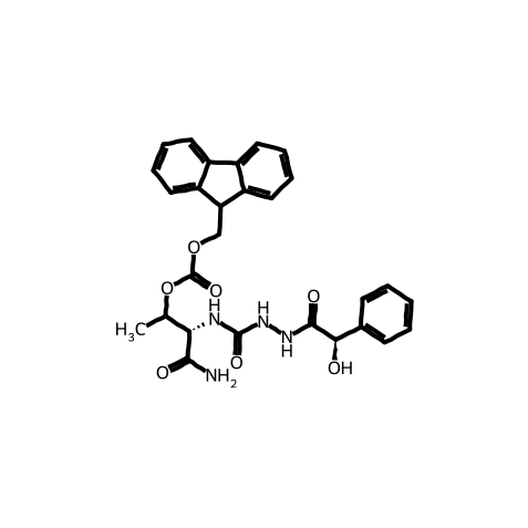 CC(OC(=O)OCC1c2ccccc2-c2ccccc21)[C@H](NC(=O)NNC(=O)[C@H](O)c1ccccc1)C(N)=O